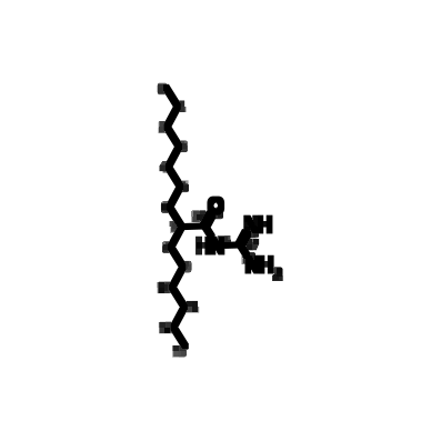 CCCCCCCC(CCCCCC)C(=O)NC(=N)N